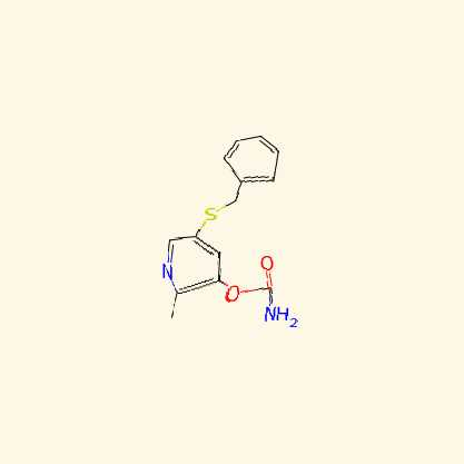 Cc1ncc(SCc2ccccc2)cc1OC(N)=O